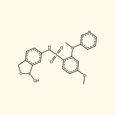 COc1ccc(S(=O)(=O)Nc2ccc3c(c2)B(O)OC3)c(N(C)c2cccnc2)c1